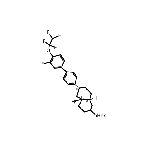 CCCCCCC1CC[C@@H]2C[C@H](c3ccc(-c4ccc(OC(F)(F)C(F)F)c(F)c4)cc3)CC[C@@H]2C1